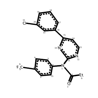 CCC(=O)N(c1ccc(C(F)(F)F)cc1)c1nccc(-c2cccc(Cl)c2)n1